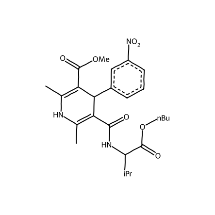 CCCCOC(=O)C(NC(=O)C1=C(C)NC(C)=C(C(=O)OC)C1c1cccc([N+](=O)[O-])c1)C(C)C